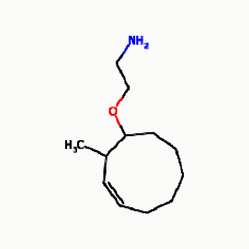 CC1/C=C\CCCCCC1OCCN